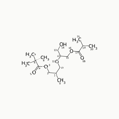 CC(COC(=O)C(C)(C)C)COC(CO)COC(=O)C(C)C